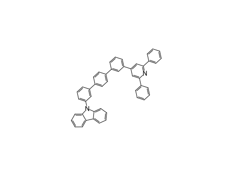 c1ccc(-c2cc(-c3cccc(-c4ccc(-c5cccc(-n6c7ccccc7c7ccccc76)c5)cc4)c3)cc(-c3ccccc3)n2)cc1